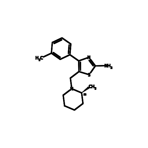 Cc1cccc(-c2nc(N)sc2CN2CCCC[C@H]2C)c1